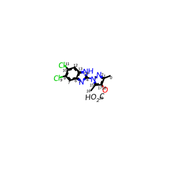 Cc1nn(-c2nc3cc(Cl)c(Cl)cc3[nH]2)c(C)c1OC(=O)O